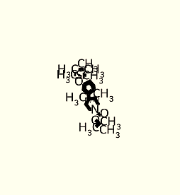 C[C@H]1CN(C(=O)OC(C)(C)C)CC[C@@]1(C)c1cccc(O[Si](C)(C)C(C)(C)C)c1